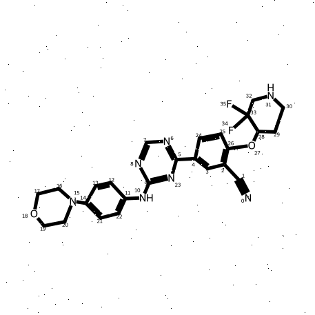 N#Cc1cc(-c2ncnc(Nc3ccc(N4CCOCC4)cc3)n2)ccc1OC1CCNCC1(F)F